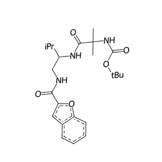 CC(C)C(CNC(=O)c1cc2ccccc2o1)NC(=O)C(C)(C)NC(=O)OC(C)(C)C